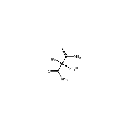 CC(C)(C)C(C(N)=S)(C(N)=S)S(=O)(=O)O